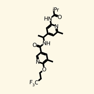 Cc1cc(C(C)NC(=O)c2cnc(OCCC(F)(F)F)c(C)c2)cc(NC(=O)C(C)C)n1